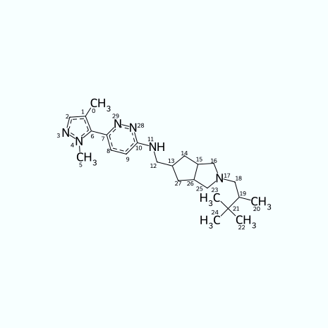 Cc1cnn(C)c1-c1ccc(NCC2CC3CN(CC(C)C(C)(C)C)CC3C2)nn1